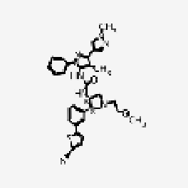 COCCN1C[C@@H](NC(=O)Nc2c(C)c(-c3cnn(C)c3)nn2-c2ccccc2)[C@H](c2cccc(-c3ccc(C#N)s3)c2)C1